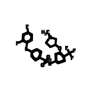 CN1CCC(Oc2cc(NS(=O)(=O)c3ccc(Sc4ccc(F)cc4F)cc3)ccc2C(F)(F)F)C1